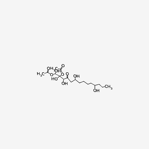 CCCC(O)CCCCC(O)CC(=O)C(O)C(O)(OC(C)=O)C(O)OC(C)=O